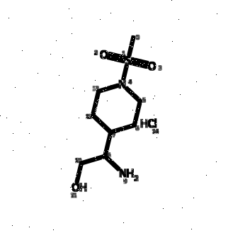 CS(=O)(=O)N1CCC(C(N)CO)CC1.Cl